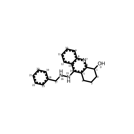 OC1CCCc2c1nc1ccccc1c2NNCc1ccccc1